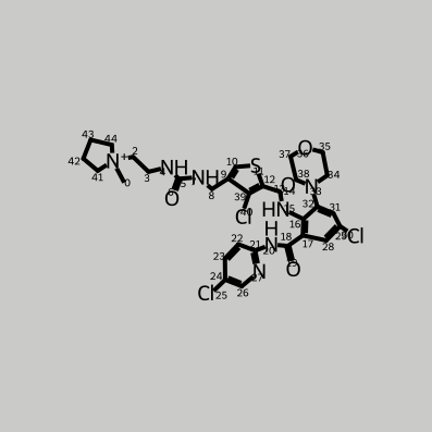 C[N+]1(CCNC(=O)NCc2csc(C(=O)Nc3c(C(=O)Nc4ccc(Cl)cn4)cc(Cl)cc3N3CCOCC3)c2Cl)CCCC1